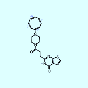 O=C(CCc1nc2sccc2c(=O)[nH]1)N1CCN(C2=C/C=C\C=C/C=C\2)CC1